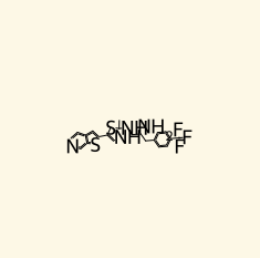 CC1(NC[C@@H](N)Cc2ccc(C(F)(F)F)cc2)NC=C(c2cc3ccncc3s2)S1